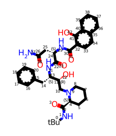 CC(C)(C)NC(=O)[C@@H]1CCCCN1C[C@@H](O)[C@H](Cc1ccccc1)NC(=O)[C@H](CC(N)=O)NC(=O)c1ccc2ccccc2c1O